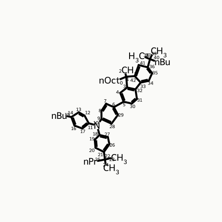 CCCCCCCCC1(C)c2cc(-c3ccc(N(c4ccc(CCCC)cc4)c4ccc(C(C)(C)CCC)cc4)cc3)ccc2-c2ccc(C(C)(C)CCCC)cc21